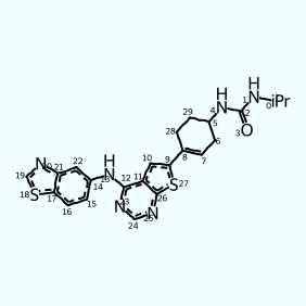 CC(C)NC(=O)NC1CC=C(c2cc3c(Nc4ccc5scnc5c4)ncnc3s2)CC1